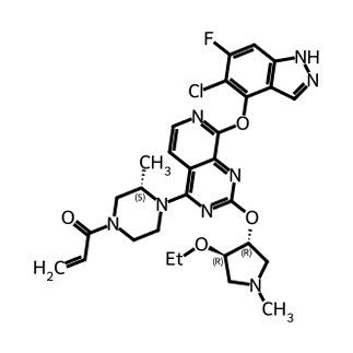 C=CC(=O)N1CCN(c2nc(O[C@@H]3CN(C)C[C@H]3OCC)nc3c(Oc4c(Cl)c(F)cc5[nH]ncc45)nccc23)[C@@H](C)C1